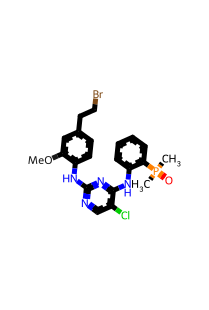 COc1cc(CCBr)ccc1Nc1ncc(Cl)c(Nc2ccccc2P(C)(C)=O)n1